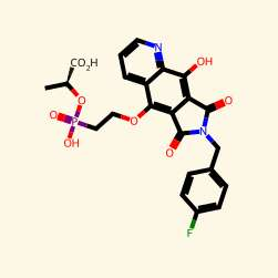 C[C@H](OP(=O)(O)CCOc1c2c(c(O)c3ncccc13)C(=O)N(Cc1ccc(F)cc1)C2=O)C(=O)O